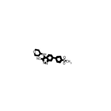 CS(=O)(=O)c1ccc(-c2ccc3c(NC4CCOCC4)c(C#N)nnc3c2)cc1